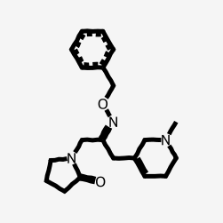 CN1CCC=C(CC(CN2CCCC2=O)=NOCc2ccccc2)C1